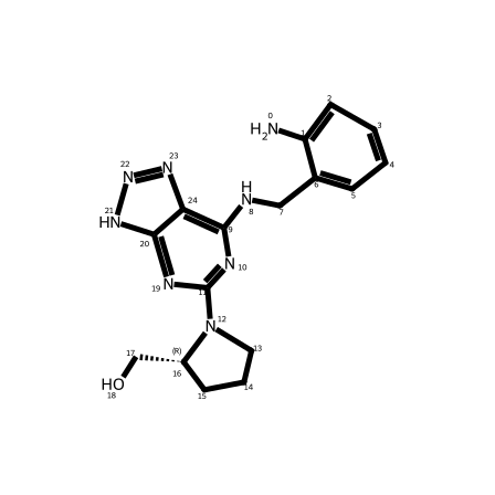 Nc1ccccc1CNc1nc(N2CCC[C@@H]2CO)nc2[nH]nnc12